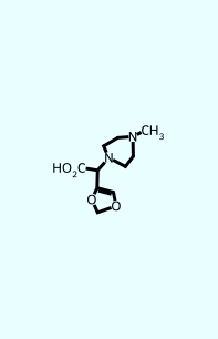 CN1CCN(C(C(=O)O)C2=COCO2)CC1